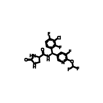 O=C1NCC(C(=O)N[C@H](c2cnc(OC(F)F)c(F)c2)c2ccc(F)c(Cl)c2F)N1